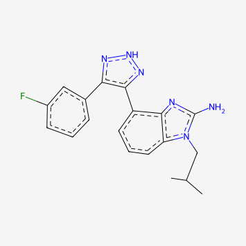 CC(C)Cn1c(N)nc2c(-c3n[nH]nc3-c3cccc(F)c3)cccc21